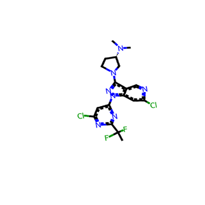 CN(C)[C@H]1CCN(c2nn(-c3cc(Cl)nc(C(C)(F)F)n3)c3cc(Cl)ncc23)C1